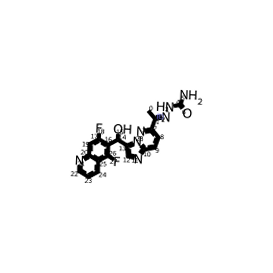 C/C(=N\NC(N)=O)c1ccc2ncc(C(O)c3c(F)cc4ncccc4c3F)n2n1